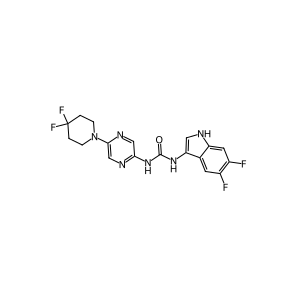 O=C(Nc1cnc(N2CCC(F)(F)CC2)cn1)Nc1c[nH]c2cc(F)c(F)cc12